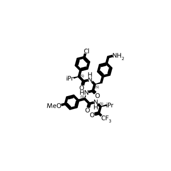 COc1ccc([C@H](NC(=O)[C@H](Cc2ccc(CN)cc2)NC(=O)[C@H](c2ccc(Cl)cc2)C(C)C)C(=O)N[C@H](C(=O)C(F)(F)F)C(C)C)cc1